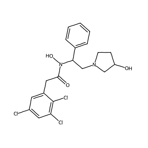 O=C(Cc1cc(Cl)cc(Cl)c1Cl)N(O)C(CN1CCC(O)C1)c1ccccc1